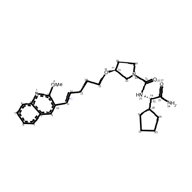 COc1nc2ccccc2cc1/C=C/CCCO[C@H]1CCN(C(=O)N[C@H](C(N)=O)C2CCCC2)C1